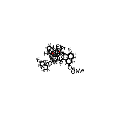 CC[C@H]1Cc2nc(-c3cc(OCOC)cc4ccc(F)c(C#C[Si](C(C)C)(C(C)C)C(C)C)c34)c(F)c3nc(OC[C@@]45CCCN4C[C@H](F)C5)nc(c23)N2C[C@H]3CC[C@@H]([C@H]12)N3C(=O)OC(C)(C)C